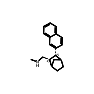 CNC[C@@H]1C2CCC(C2)[C@H]1c1ccc2ccccc2c1